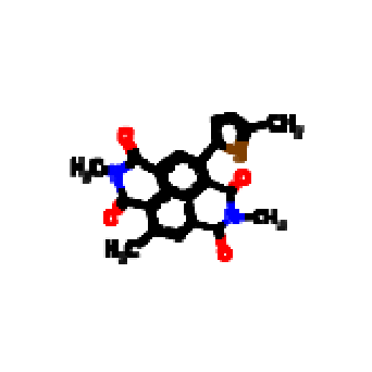 Cc1ccc(-c2cc3c4c(c(C)cc5c4c2C(=O)N(C)C5=O)C(=O)N(C)C3=O)s1